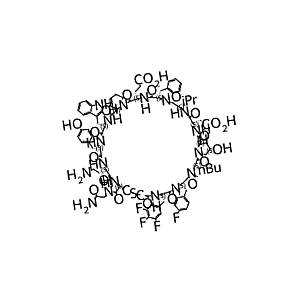 CCCC[C@H]1C(=O)N2C[C@@H](O)C[C@@H]2C(=O)N[C@@H](CC(=O)O)C(=O)N[C@@H](C(C)C)C(=O)N(C)[C@@H](Cc2ccccc2)C(=O)N[C@@H](CCC(=O)O)C(=O)N2CCCC[C@@H]2C(=O)N[C@@H](Cc2c[nH]c3ccccc23)C(=O)N[C@@H](Cc2ccc(O)cc2)C(=O)N[C@@H](CCN)C(=O)N[C@H](C(=O)NCC(N)=O)CSCC(=O)N[C@@H](Cc2cc(F)c(F)c(F)c2)C(=O)N(C)[C@@H](Cc2ccc(F)cc2)C(=O)N1C